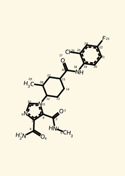 CNC(=O)c1c(C(N)=O)ncn1C1CCC(C(=O)Nc2ccc(F)cc2Cl)CC1C